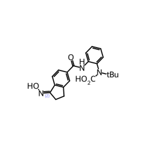 CC(C)(C)N(C(=O)O)c1ccccc1NC(=O)c1ccc2c(c1)CC/C2=N/O